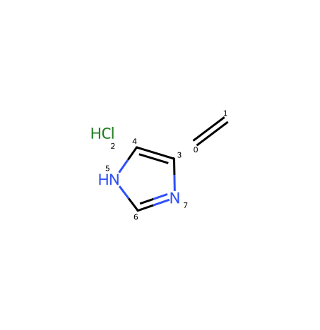 C=C.Cl.c1c[nH]cn1